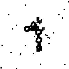 O=S1(=O)[C@@H](c2ccccc2)CC[C@H](C(F)F)N1Cc1ccc(N2CCC(n3cnnc3)CC2)cc1F